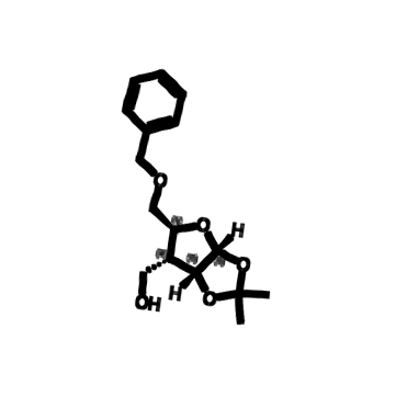 CC1(C)O[C@H]2O[C@H](COCc3ccccc3)[C@@H](CO)[C@H]2O1